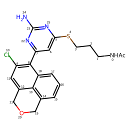 CC(=O)NCCCSc1cc(-c2c(Cl)cc3c4c(cccc24)COC3)nc(N)n1